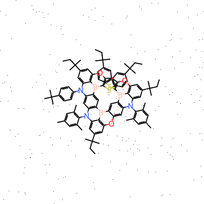 CCC(C)(C)c1cc2c3c(c1)N(c1ccc(C(C)(C)C)cc1)c1cc4c(cc1B3c1sc3ccc(C(C)(C)CC)cc3c1O2)B1c2cc3c(cc2Oc2cc(C(C)(C)CC)cc(c21)N4c1c(C)cc(C)cc1C)N(c1c(C)cc(C)cc1C)c1cc(C(C)(C)CC)cc2c1B3c1sc3ccc(C(C)(C)CC)cc3c1O2